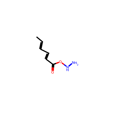 C/C=C/C=C/C(=O)ONN